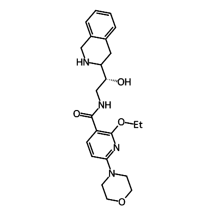 CCOc1nc(N2CCOCC2)ccc1C(=O)NC[C@@H](O)C1Cc2ccccc2CN1